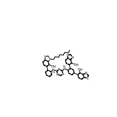 CCCCCCCCN1CSc2ccc(-c3ccccc3Nc3ncnc(Nc4ccc(-c5ccc6scnc6c5O)cc4-c4ccc5scnc5c4O)n3)c(O)c21